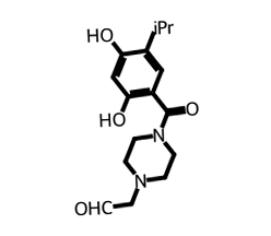 CC(C)c1cc(C(=O)N2CCN(CC=O)CC2)c(O)cc1O